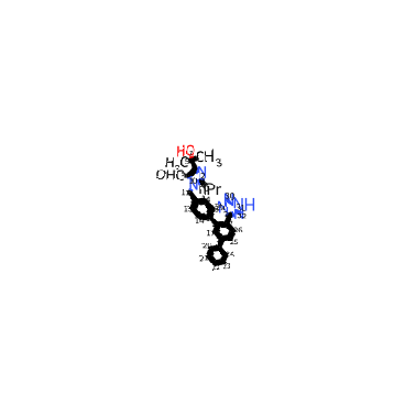 CCCc1nc(C(C)(C)O)c(C=O)n1Cc1ccc(-c2cc(-c3ccccc3)ccc2-c2nn[nH]n2)cc1